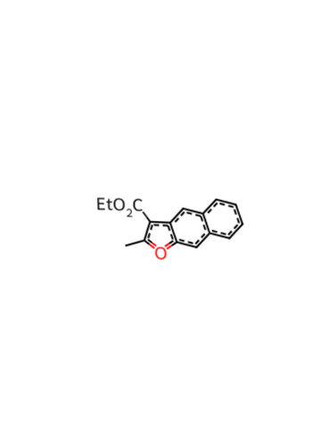 CCOC(=O)c1c(C)oc2cc3ccccc3cc12